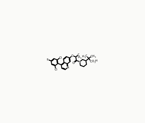 CC(Oc1ccc2c(-c3c(Cl)cc(F)cc3Cl)ccnc2c1)C(=O)N1CCCC(C(C)(C)C(=O)O)C1